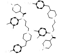 CC(=O)N1CCC(C(=O)N(CCCN2CCC(Cc3ccc(N)cc3)CC2)c2ccc(Cl)c(Cl)c2)CC1.CC(=O)Nc1ccc(CC2CCN(CCCN(C(=O)C3CCN(C(C)=O)CC3)c3ccc(Cl)c(Cl)c3)CC2)cc1